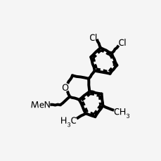 CNCC1OCC(c2ccc(Cl)c(Cl)c2)c2cc(C)cc(C)c21